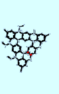 CSN1c2cc3c(cc2B2c4ccccc4Oc4cc(C)cc1c42)B1c2cc4c(cc2N(SC)c2cc(C)cc(c21)N3SC)Nc1cc(C)cc2c1B4c1ccccc1O2